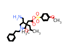 COc1ccc(S(=O)(=O)OC(=O)CC2(CC(C)C)C(=O)N(CCc3ccccc3)CC2CN)cc1